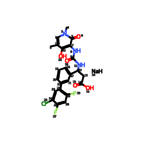 Cc1cn(C)c(=O)c(NC(=O)NC(CC(=O)O)c2cccc(-c3cc(Cl)c(F)cc3F)c2)c1O.[NaH]